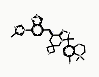 Cc1cn(-c2ccc(/C=C3\CC4(COC4)CN4C3=NOC4(C)c3ccc(F)c4c3OCC[Si]4(C)C)c3cnoc23)cn1